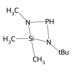 CN1PN(C(C)(C)C)[Si]1(C)C